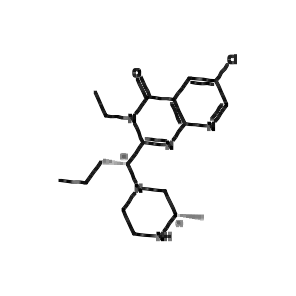 CCC[C@H](c1nc2ncc(Cl)cc2c(=O)n1CC)N1CCN[C@@H](C)C1